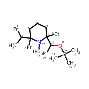 CCC1(C(C)C(C)C)CCCC(CC)(C(O[Si](C)(C)C)C(C)C)N1C(C)(C)C